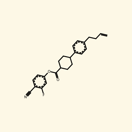 C=CCCc1ccc(C2CCC(C(=O)Oc3ccc(C#N)c(F)c3)CC2)cc1